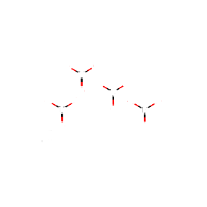 [Cr+6].[Cr+6].[O-]B([O-])[O-].[O-]B([O-])[O-].[O-]B([O-])[O-].[O-]B([O-])[O-]